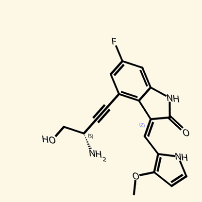 COc1cc[nH]c1/C=C1\C(=O)Nc2cc(F)cc(C#C[C@H](N)CO)c21